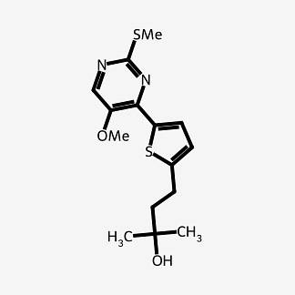 COc1cnc(SC)nc1-c1ccc(CCC(C)(C)O)s1